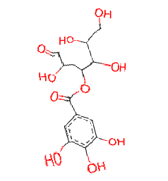 O=CC(O)C(OC(=O)c1cc(O)c(O)c(O)c1)C(O)C(O)CO